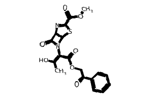 COC(=O)C1=NC2C(=O)N(C(C(=O)OCC(=O)c3ccccc3)=C(C)O)C2S1